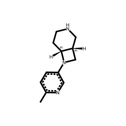 Cc1ccc(N2C[C@H]3CNCC[C@H]32)cn1